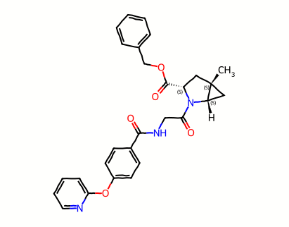 C[C@@]12C[C@@H]1N(C(=O)CNC(=O)c1ccc(Oc3ccccn3)cc1)[C@H](C(=O)OCc1ccccc1)C2